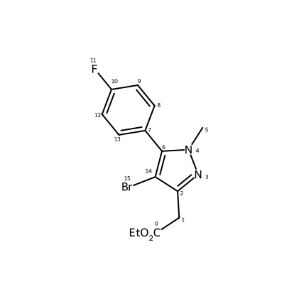 CCOC(=O)Cc1nn(C)c(-c2ccc(F)cc2)c1Br